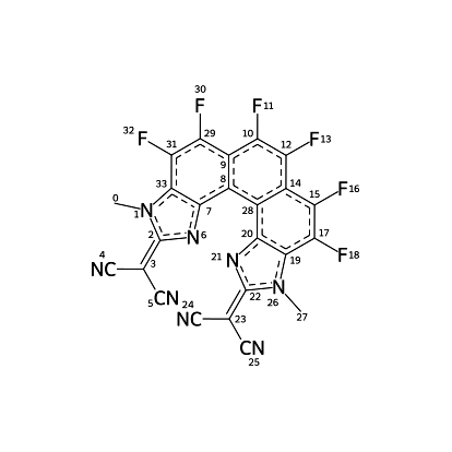 Cn1c(=C(C#N)C#N)nc2c3c(c(F)c(F)c4c(F)c(F)c5c(nc(=C(C#N)C#N)n5C)c43)c(F)c(F)c21